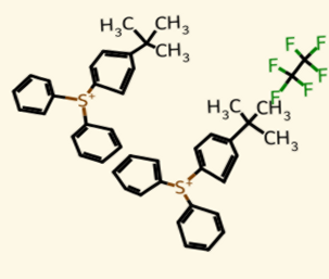 CC(C)(C)c1ccc([S+](c2ccccc2)c2ccccc2)cc1.CC(C)(C)c1ccc([S+](c2ccccc2)c2ccccc2)cc1.FC(F)(F)C(F)(F)F